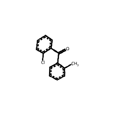 Cc1ccccc1C(=O)c1ccccc1Cl